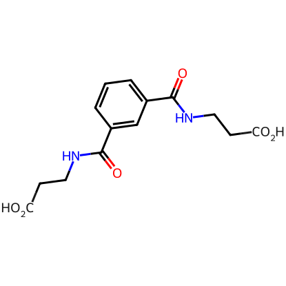 O=C(O)CCNC(=O)c1cccc(C(=O)NCCC(=O)O)c1